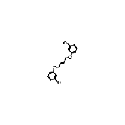 CC(C)c1cccc(OC/C=C/COc2cccc(C(C)C)c2)c1